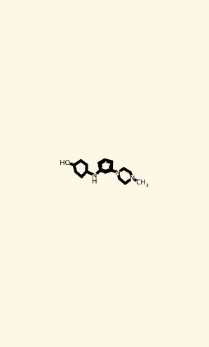 CN1CCN(c2cc[c]c(NC3CCC(O)CC3)c2)CC1